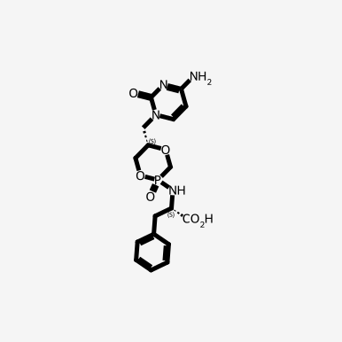 Nc1ccn(C[C@H]2COP(=O)(N[C@@H](Cc3ccccc3)C(=O)O)CO2)c(=O)n1